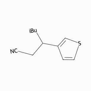 CCC(C)C(CC#N)c1ccsc1